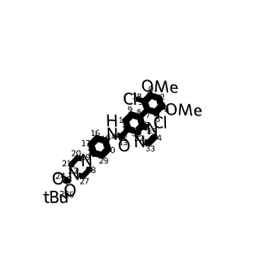 COc1cc(OC)c(Cl)c(-c2ccc(C(=O)Nc3ccc(N4CCN(C(=O)OC(C)(C)C)CC4)cc3)c3nccnc23)c1Cl